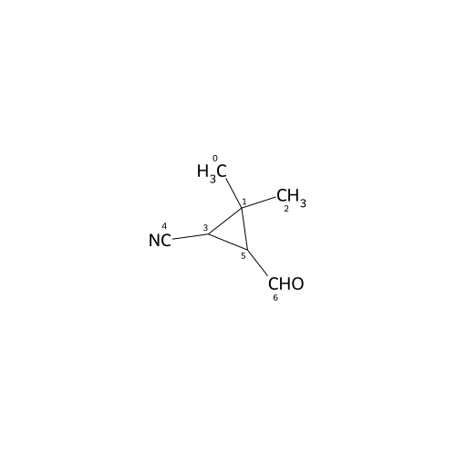 CC1(C)C(C#N)C1C=O